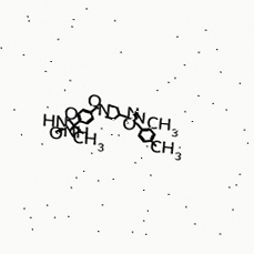 CCC1(c2ccc(C(=O)N3CCC(c4nnc(-c5ccc(C)cc5C)o4)CC3)cc2)NC(=O)NC1=O